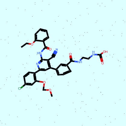 CCOc1ccccc1C(=O)Nc1nc(-c2ccc(Cl)cc2OCOC)cc(-c2cccc(C(=O)NCCNC(=O)O)c2)c1C#N